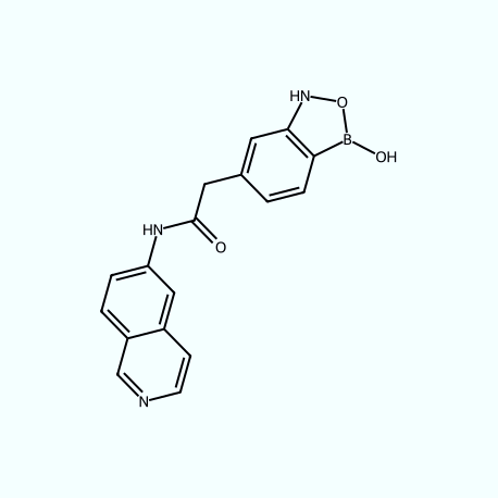 O=C(Cc1ccc2c(c1)NOB2O)Nc1ccc2cnccc2c1